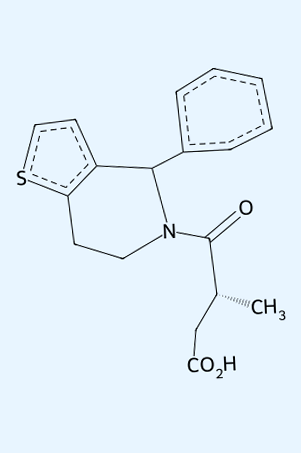 C[C@H](CC(=O)O)C(=O)N1CCc2sccc2C1c1ccccc1